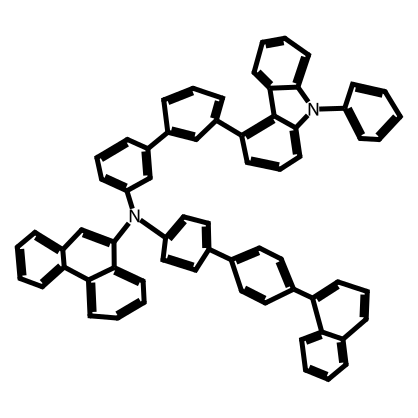 c1ccc(-n2c3ccccc3c3c(-c4cccc(-c5cccc(N(c6ccc(-c7ccc(-c8cccc9ccccc89)cc7)cc6)c6cc7ccccc7c7ccccc67)c5)c4)cccc32)cc1